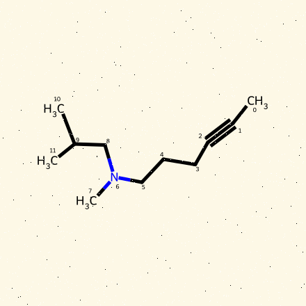 CC#CCCCN(C)CC(C)C